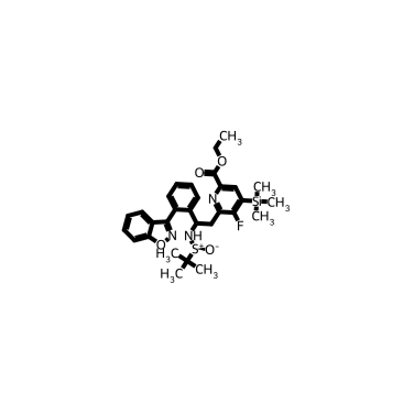 CCOC(=O)c1cc([Si](C)(C)C)c(F)c(CC(N[S@@+]([O-])C(C)(C)C)c2ccccc2-c2noc3ccccc23)n1